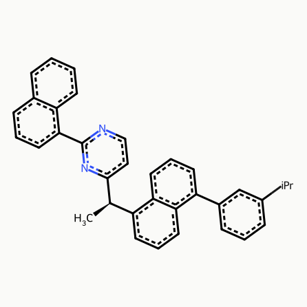 CC(C)c1cccc(-c2cccc3c([C@@H](C)c4ccnc(-c5cccc6ccccc56)n4)cccc23)c1